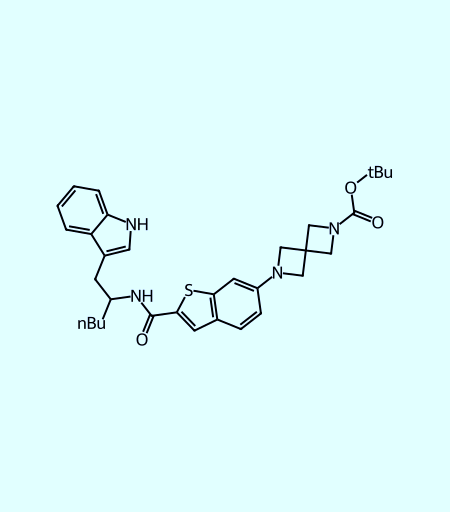 CCCCC(Cc1c[nH]c2ccccc12)NC(=O)c1cc2ccc(N3CC4(CN(C(=O)OC(C)(C)C)C4)C3)cc2s1